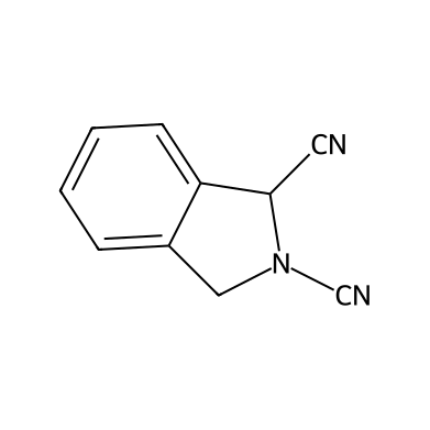 N#CC1c2ccccc2CN1C#N